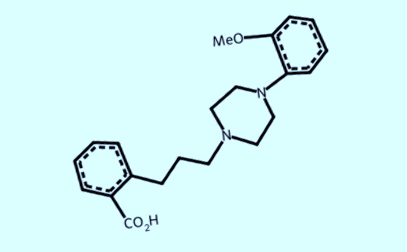 COc1ccccc1N1CCN(CCCc2ccccc2C(=O)O)CC1